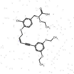 CCOc1cc(C#C/C=C\COc2ccc(C[C@H](OCC)C(=O)O)cc2Cl)cc(OCC)c1